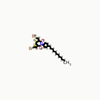 CCCCCCCCCCCCc1ccc(-n2c(=O)c3cc(Br)sc3c3sc(Br)cc3c2=O)cc1